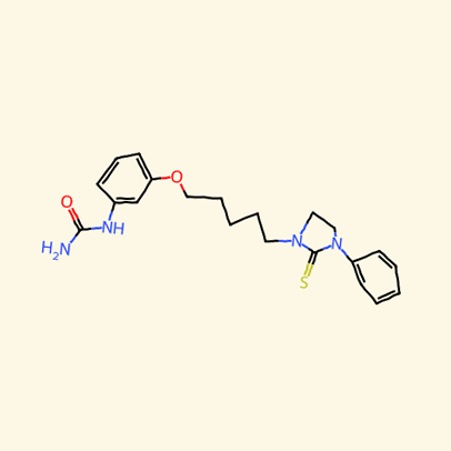 NC(=O)Nc1cccc(OCCCCCN2CCN(c3ccccc3)C2=S)c1